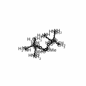 COc1cc(OC)c(C(=O)C[C@H]2CC[C@H](NC(=O)c3cc(C(=O)NCCN(C)C)c(OCCCCCNC(=N)N)cc3OCCCCCNC(=N)N)CC2)cc1C(=O)C[C@H]1CC[C@H](NC(=O)c2cc(C(=O)NCCN(C)C)c(OCCCCCNC(=N)N)cc2OCCCCCNC(=N)N)CC1